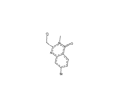 Cn1c(CCl)nc2cc(Br)ccc2c1=O